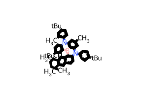 Cc1cc2c3c(c1)N(c1ccc(C(C)(C)C)cc1C)c1ccc(C(C)(C)C)cc1B3c1c(ccc3cc4c(cc13)C(C)(C)CCC4(C)C)N2c1ccc(C(C)(C)C)cc1